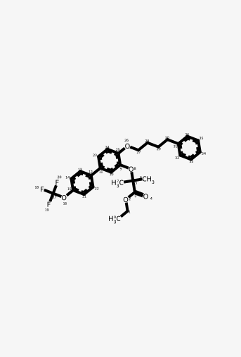 CCOC(=O)C(C)(C)Oc1cc(-c2ccc(OC(F)(F)F)cc2)ccc1OCCCCc1ccccc1